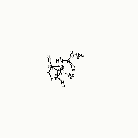 CC(=O)[C@@H]1[C@@H]2CC[C@@H](C2)[C@@H]1NC(=O)OC(C)(C)C